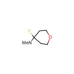 CNC1(F)CCOCC1